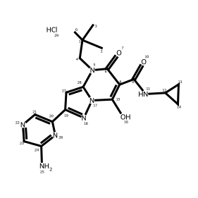 CC(C)(C)Cn1c(=O)c(C(=O)NC2CC2)c(O)n2nc(-c3cncc(N)n3)cc12.Cl